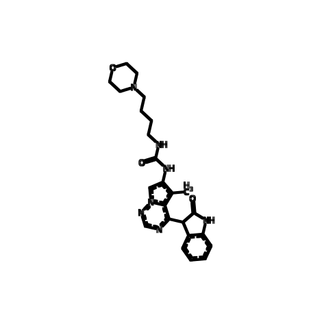 Cc1c(NC(=O)NCCCCN2CCOCC2)cn2ncnc(C3C(=O)Nc4ccccc43)c12